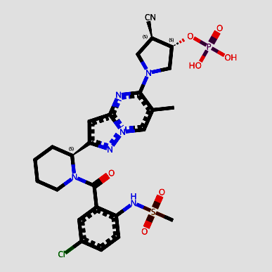 Cc1cn2nc([C@@H]3CCCCN3C(=O)c3cc(Cl)ccc3NS(C)(=O)=O)cc2nc1N1C[C@@H](C#N)[C@H](OP(=O)(O)O)C1